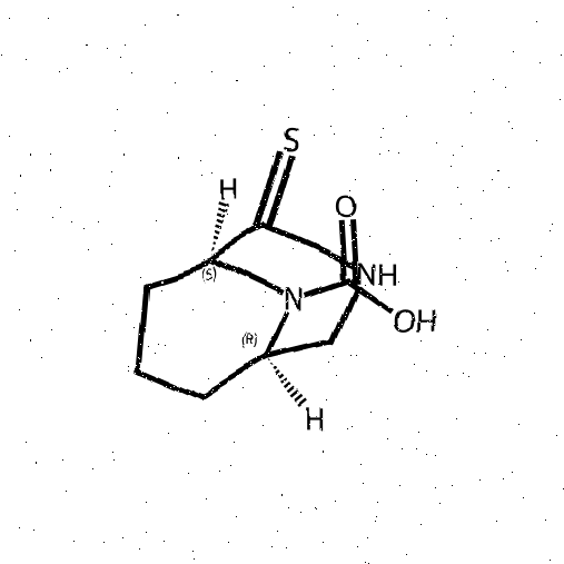 O=C(O)N1[C@@H]2CCC[C@H]1C(=S)NC2